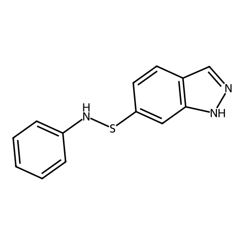 c1ccc(NSc2ccc3cn[nH]c3c2)cc1